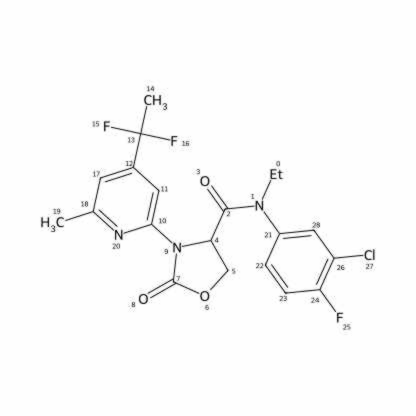 CCN(C(=O)C1COC(=O)N1c1cc(C(C)(F)F)cc(C)n1)c1ccc(F)c(Cl)c1